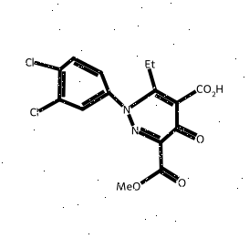 CCc1c(C(=O)O)c(=O)c(C(=O)OC)nn1-c1ccc(Cl)c(Cl)c1